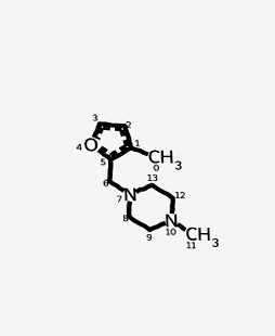 Cc1ccoc1CN1CCN(C)CC1